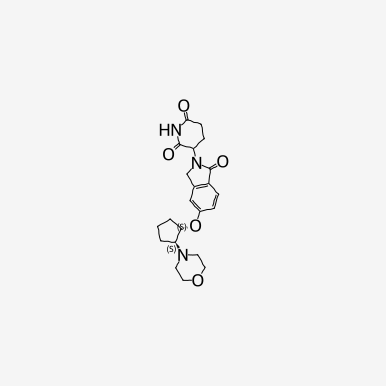 O=C1CCC(N2Cc3cc(O[C@H]4CCC[C@@H]4N4CCOCC4)ccc3C2=O)C(=O)N1